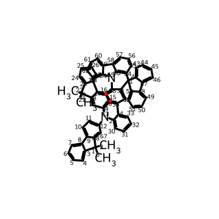 CC1(C)c2ccccc2-c2ccc(N(c3ccc4c(c3)C(C)(C)c3ccccc3-4)c3ccccc3-c3ccc4c(c3)C3(c5ccccc5-c5ccccc53)c3cccc5c6ccccc6n-4c35)cc21